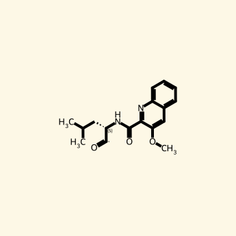 COc1cc2ccccc2nc1C(=O)N[C@H]([C]=O)CC(C)C